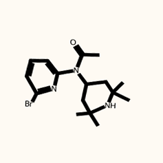 CC(=O)N(c1cccc(Br)n1)C1CC(C)(C)NC(C)(C)C1